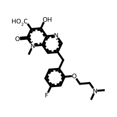 CN(C)CCOc1cc(F)ccc1Cc1cnc2c(O)c(C(=O)O)c(=O)n(C)c2c1